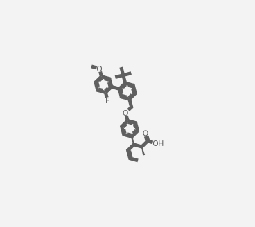 C/C=C\[C@@H](c1ccc(OCc2ccc(C(C)(C)C)c(-c3cc(OC)ccc3F)c2)cc1)[C@H](C)C(=O)O